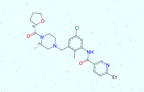 CCc1ccc(C(=O)Nc2cc(Cl)cc(CN3CCN(C(=O)[C@@H]4CCCO4)[C@@H](C)C3)c2C)cn1